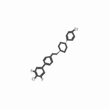 CCc1ccc([C@H]2CC[C@H](CCc3ccc(-c4cc(F)c(Cl)c(F)c4)cc3)CC2)cc1